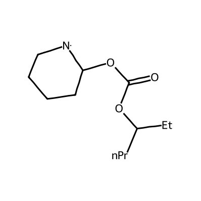 CCCC(CC)OC(=O)OC1CCCC[N]1